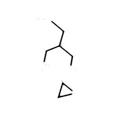 C1CO1.CCCCCCC(CO)CO